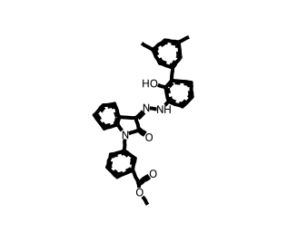 COC(=O)c1cccc(N2C(=O)C(=NNc3cccc(-c4cc(C)cc(C)c4)c3O)c3ccccc32)c1